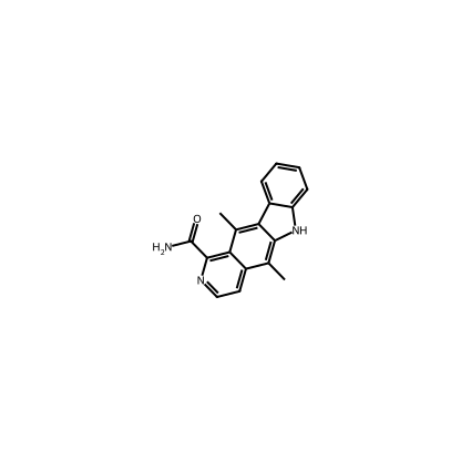 Cc1c2ccnc(C(N)=O)c2c(C)c2c1[nH]c1ccccc12